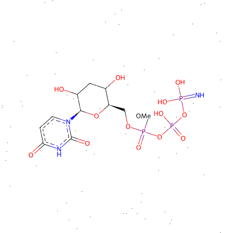 COP(=O)(OC[C@H]1O[C@@H](n2ccc(=O)[nH]c2=O)C(O)CC1O)OP(=O)(O)OP(=N)(O)O